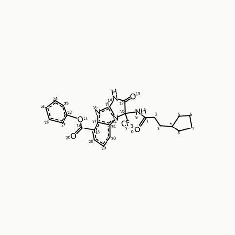 O=C(CCC1CCCC1)NC1(C(F)(F)F)C(=O)Nc2nc3c(C(=O)Oc4ccccc4)cccc3n21